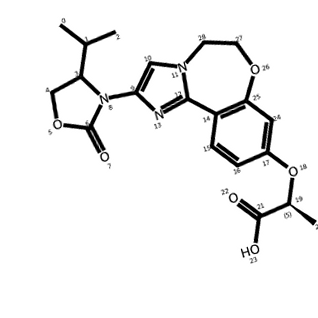 CC(C)C1COC(=O)N1c1cn2c(n1)-c1ccc(O[C@@H](C)C(=O)O)cc1OCC2